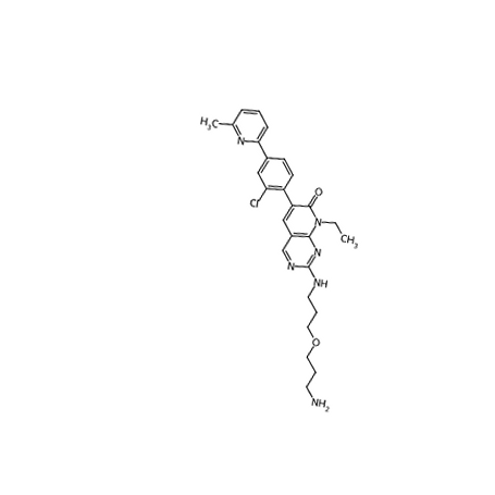 CCn1c(=O)c(-c2ccc(-c3cccc(C)n3)cc2Cl)cc2cnc(NCCCOCCCN)nc21